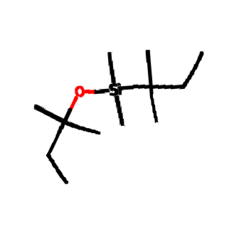 CCC(C)(C)O[Si](C)(C)C(C)(C)CC